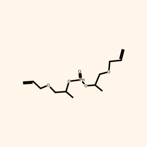 C=CCOCC(C)O[PH](=O)OC(C)COCC=C